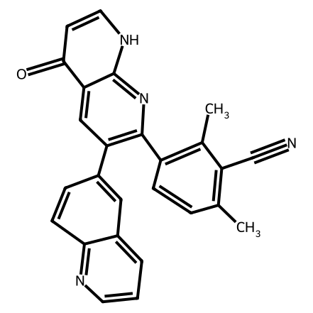 Cc1ccc(-c2nc3[nH]ccc(=O)c3cc2-c2ccc3ncccc3c2)c(C)c1C#N